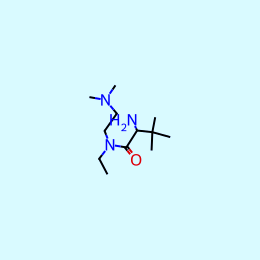 CCN(CCN(C)C)C(=O)C(N)C(C)(C)C